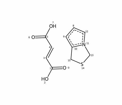 O=C(O)/C=C/C(=O)O.c1cc2n(c1)CSC2